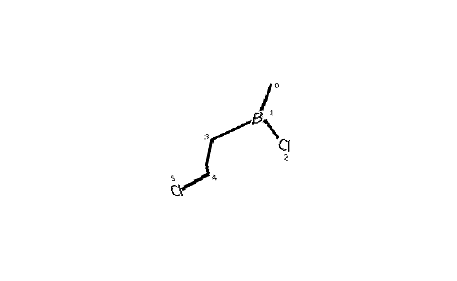 CB(Cl)CCCl